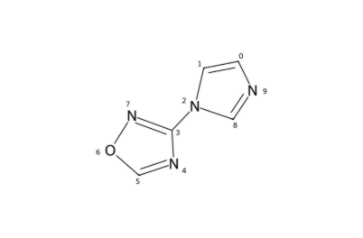 c1cn(-c2ncon2)cn1